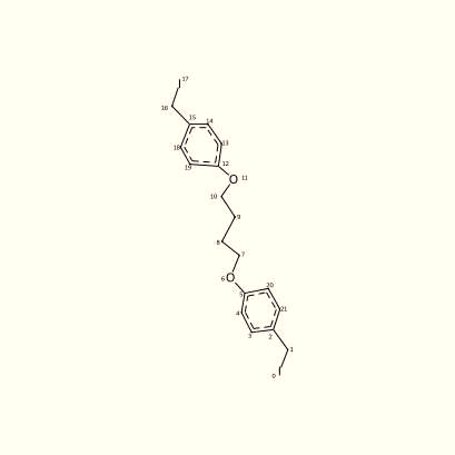 ICc1ccc(OCCCCOc2ccc(CI)cc2)cc1